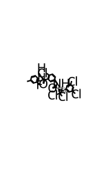 Cc1ccc(NC(=O)c2cc(NC(=O)[C@@H]3[C@@H](c4cc(Cl)cc(Cl)c4)C3(Cl)Cl)ccc2Cl)c(F)c1